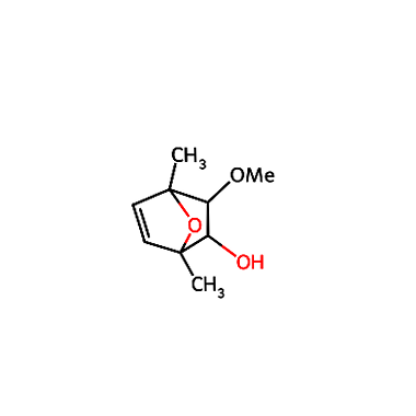 COC1C(O)C2(C)C=CC1(C)O2